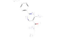 COc1ccc(-c2ncc(C(=O)NCC(C)C)c(N)n2)cc1